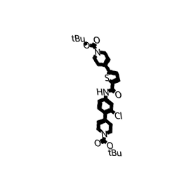 CC(C)(C)OC(=O)N1CC=C(c2ccc(C(=O)Nc3ccc(C4=CCN(C(=O)OC(C)(C)C)CC4)c(Cl)c3)s2)CC1